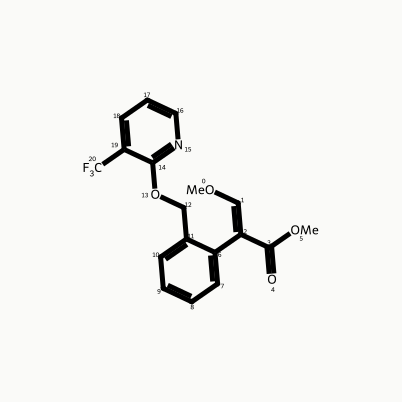 CO/C=C(/C(=O)OC)c1ccccc1COc1ncccc1C(F)(F)F